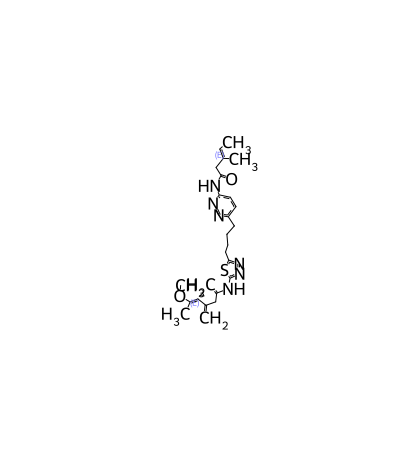 C=C(/C=C(\C)OC)CC(=C)Nc1nnc(CCCCc2ccc(NC(=O)C/C(C)=C/C)nn2)s1